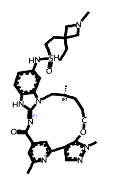 Cc1cc2cc(n1)-c1cnn(C)c1OCCC[C@@H](C)CN1/C(=N/C2=O)Nc2ccc(N[SH]3(=O)CCC4(CC3)CN(C)C4)cc21